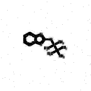 CC(C)(C)[Si](C)(C)Oc1nc2ccccc2s1